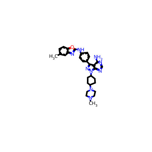 Cc1ccc2oc(Nc3ccc(-c4nn(C5CCC(N6CCN(C)CC6)CC5)c5ncnc(N)c45)cc3)nc2c1